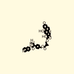 C[C@@H]1C[C@H]2[C@@H]3CCC4=CC(=O)C=C[C@]4(C)[C@@]3(F)[C@@H](O)C[C@]2(C)[C@@]1(O)C(=O)COCC1CC1C(=O)OCc1ccc(C(CN)C(=O)Nc2ccc3cnccc3c2)cc1